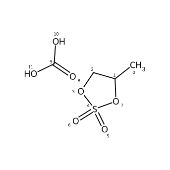 CC1COS(=O)(=O)O1.O=C(O)O